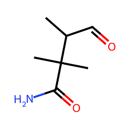 CC(C=O)C(C)(C)C(N)=O